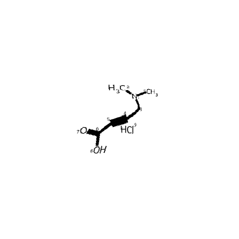 CN(C)CC#CC(=O)O.Cl